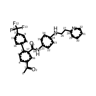 CC(=O)c1ccc(-c2ccc(C(F)(F)F)cc2)c(C(=O)Nc2ccc(NCCc3ccccn3)cc2)c1